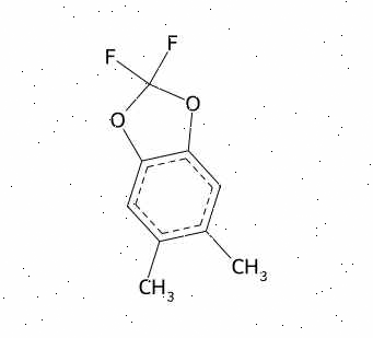 Cc1cc2c(cc1C)OC(F)(F)O2